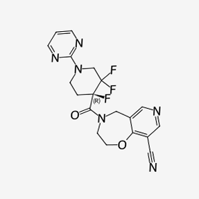 N#Cc1cncc2c1OCCN(C(=O)[C@]1(F)CCN(c3ncccn3)CC1(F)F)C2